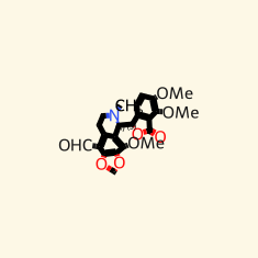 COc1ccc2c(c1OC)C(=O)O[C@@H]2[C@H]1c2c(c(C=O)c3c(c2OC)OCO3)CCN1C